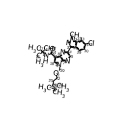 Cn1nc(-c2cnc3c(n2)c(C(=O)NC(C)(C)C)cn3COCC[Si](C)(C)C)c2ccc(Cl)cc21